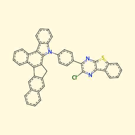 Clc1nc2c(nc1-c1ccc(-n3c4ccccc4c4c5ccccc5c5c(c43)Cc3cc4ccccc4cc3-5)cc1)sc1ccccc12